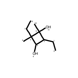 CCC1C(O)C(C)(CC)C1(C)O